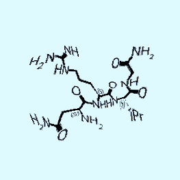 CC(C)[C@H](NC(=O)[C@H](CCCNC(=N)N)NC(=O)[C@@H](N)CC(N)=O)C(=O)NCC(N)=O